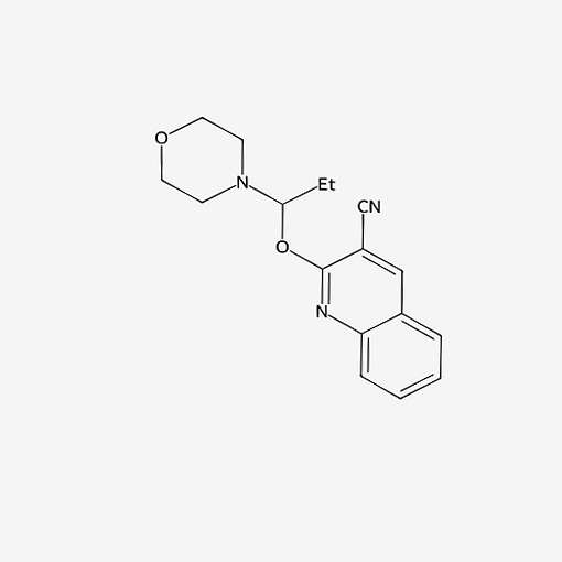 CCC(Oc1nc2ccccc2cc1C#N)N1CCOCC1